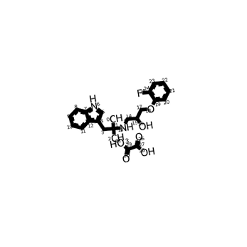 CC(C)(Cc1c[nH]c2ccccc12)NCC(O)COc1ccccc1F.O=C(O)C(=O)O